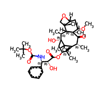 CO[C@H]1C[C@H]2OC[C@@]2(C)[C@H]2[C@H](C)[C@]3(O)C[C@H](OC(=O)[C@H](O)[C@@H](NC(=O)OC(C)(C)C)c4ccccc4)C(C)=C([C@@H](C)C(=O)[C@]12C)C3(C)C